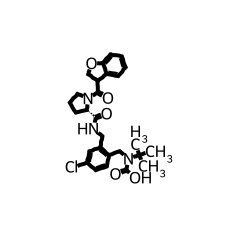 CC(C)(C)N(Cc1ccc(Cl)cc1CNC(=O)[C@@H]1CCCN1C(=O)C1COc2ccccc21)C(=O)O